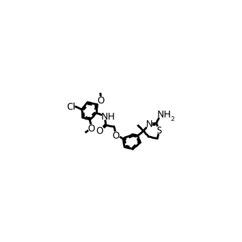 COc1cc(Cl)cc(OC)c1NC(=O)COc1cccc(C2(C)CCSC(N)=N2)c1